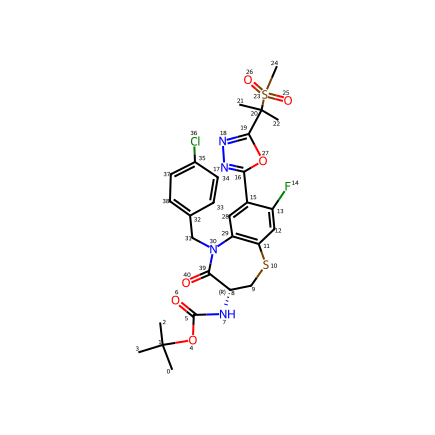 CC(C)(C)OC(=O)N[C@H]1CSc2cc(F)c(-c3nnc(C(C)(C)S(C)(=O)=O)o3)cc2N(Cc2ccc(Cl)cc2)C1=O